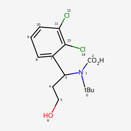 CC(C)(C)N(C(=O)O)C(CCO)c1cccc(Cl)c1Cl